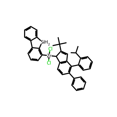 CC(C)c1ccccc1-c1c(-c2ccccc2)ccc2c1C=C(C(C)(C)C)[CH]2[Zr]([Cl])([Cl])[c]1cccc2c1[SiH2]c1ccccc1-2